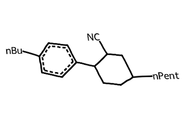 CCCCCC1CCC(c2ccc(CCCC)cc2)C(C#N)C1